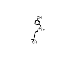 CCN(C/C=C/C#CC(C)(C)O)Cc1cccc(O)c1